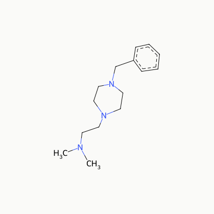 CN(C)CCN1CCN(Cc2ccccc2)CC1